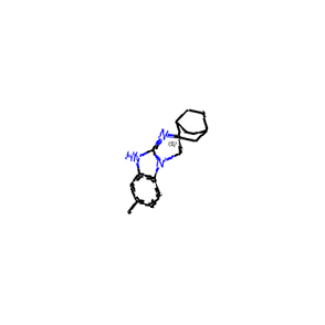 Cc1ccc2c(c1)NC1=N[C@]3(CC4CCC3CC4)CN12